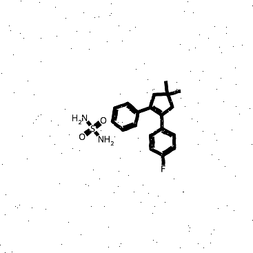 CC1(C)CC(c2ccccc2)=C(c2ccc(F)cc2)C1.NS(N)(=O)=O